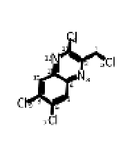 ClCc1nc2cc(Cl)c(Cl)cc2nc1Cl